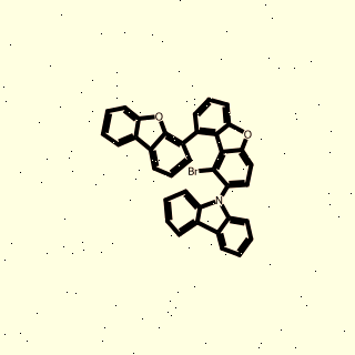 Brc1c(-n2c3ccccc3c3ccccc32)ccc2oc3cccc(-c4cccc5c4oc4ccccc45)c3c12